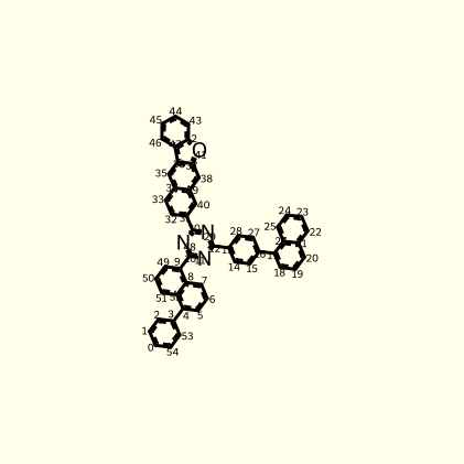 c1ccc(-c2cccc3c(-c4nc(-c5ccc(-c6cccc7ccccc67)cc5)nc(-c5ccc6cc7c(cc6c5)oc5ccccc57)n4)cccc23)cc1